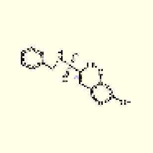 N#C/C(=C\c1ccc(O)cc1Cl)S(=O)(=O)NCc1ccccc1